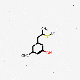 CCSC(C)CC1CC(O)=CC(C=O)C1